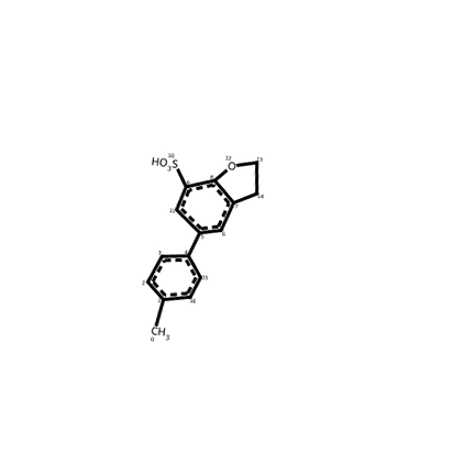 Cc1ccc(-c2cc3c(c(S(=O)(=O)O)c2)OCC3)cc1